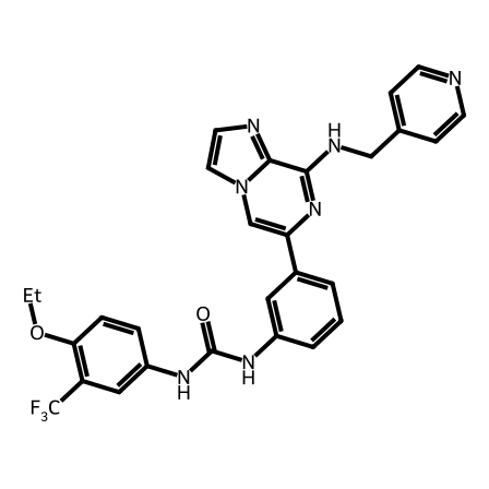 CCOc1ccc(NC(=O)Nc2cccc(-c3cn4ccnc4c(NCc4ccncc4)n3)c2)cc1C(F)(F)F